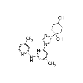 Cc1cc(Nc2cc(C(F)(F)F)ccn2)nc(-n2cnc(C3(O)CCC(O)CC3)c2)c1